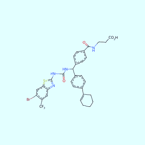 O=C(O)CCNC(=O)c1ccc(C(NC(=O)Nc2nc3cc(C(F)(F)F)c(Br)cc3s2)c2ccc(C3=CCCCC3)cc2)cc1